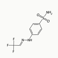 NS(=O)(=O)c1ccc(NN=CC(F)(F)F)cc1